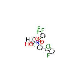 C[C@@H]1[C@@H](O)Cc2ccc(CCc3c(F)cccc3Cl)cc2N1S(=O)(=O)c1cccc(C(F)(F)F)c1